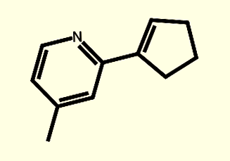 Cc1ccnc(C2=CCCC2)c1